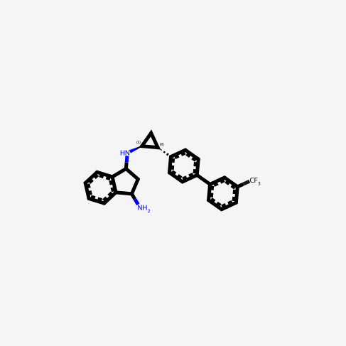 NC1CC(N[C@H]2C[C@@H]2c2ccc(-c3cccc(C(F)(F)F)c3)cc2)c2ccccc21